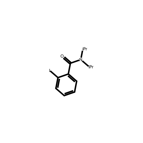 CC(C)N(C(=O)c1ccccc1I)C(C)C